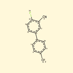 N#Cc1cc(-c2ccc(C(F)(F)F)cc2)ccc1F